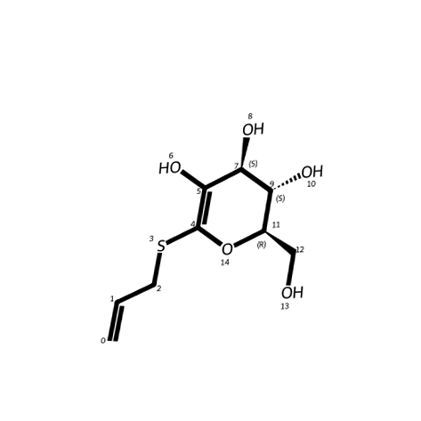 C=CCSC1=C(O)[C@@H](O)[C@H](O)[C@@H](CO)O1